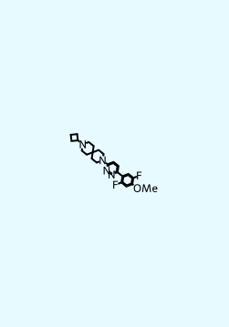 COc1cc(F)c(-c2ccc(N3CCC4(CC3)CCN(C3CCC3)CC4)nn2)cc1F